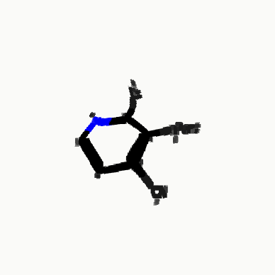 CCCCCc1c(C#N)ccnc1CC